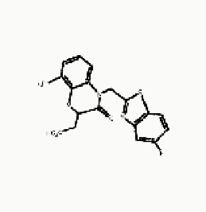 CCCc1cccc2c1OC(CC(=O)O)C(=O)N2Cc1nc2cc(F)ccc2s1